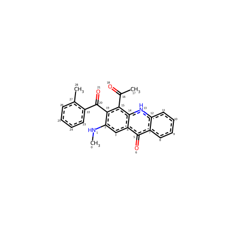 CNc1cc2c(=O)c3ccccc3[nH]c2c(C(C)=O)c1C(=O)c1ccccc1C